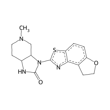 CN1CCC2NC(=O)N(c3nc4c5c(ccc4s3)OCC5)C2C1